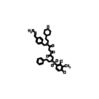 Cc1c(Cl)ccc(S(=O)(=O)N(CCc2ccccc2)CC(=O)NCC(=O)N(CCC2CCNCC2)Cc2ccc(C=NN)cc2)c1Cl